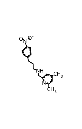 Cc1cc(C)nc(CNCCCc2ccc([N+](=O)[O-])cc2)c1